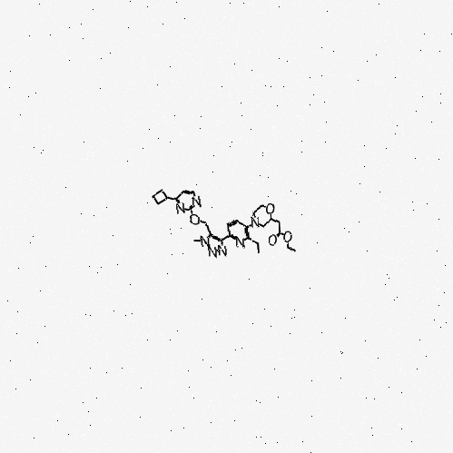 CCOC(=O)CC1CN(c2ccc(-c3nnn(C)c3COc3nccc(C4CCC4)n3)nc2CC)CCO1